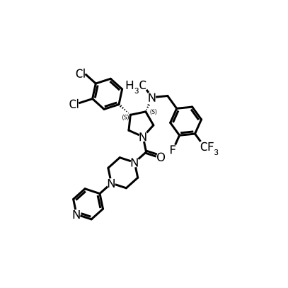 CN(Cc1ccc(C(F)(F)F)c(F)c1)[C@@H]1CN(C(=O)N2CCN(c3ccncc3)CC2)C[C@@H]1c1ccc(Cl)c(Cl)c1